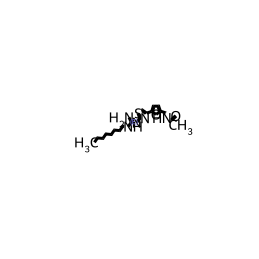 CCCCCCCCN/C(N)=N/c1nc(-c2ccc(CNC(C)=O)o2)cs1